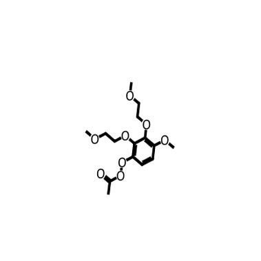 COCCOc1c(OC)ccc(OOC(C)=O)c1OCCOC